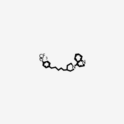 FC(F)(F)Oc1ccc(CCCCCC2CCN(c3ccnc4ccccc34)CC2)cc1